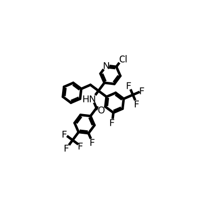 O=C(NC(Cc1ccccc1)(c1ccc(Cl)nc1)c1cc(F)cc(C(F)(F)F)c1)c1ccc(C(F)(F)F)c(F)c1